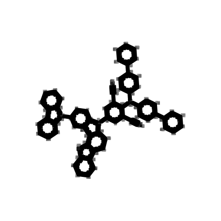 N#Cc1cc(-n2c3ccc(-n4c5ccccc5c5ccccc54)cc3c3c4oc5ccccc5c4ccc32)cc(C#N)c1N(c1ccc(-c2ccccc2)cc1)c1ccc(-c2ccccc2)cc1